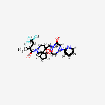 CC(CC(F)(F)F)C(=O)N1CCC(O)(CN2CCN(c3ccccn3)CC2=O)C2(CCCC2)C1